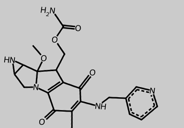 COC12C(COC(N)=O)C3=C(C(=O)C(C)=C(NCc4cccnc4)C3=O)N1CC1NC12